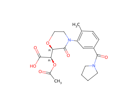 CC(=O)O[C@@H](C(=O)O)[C@H]1OCCN(c2cc(C(=O)N3CCCC3)ccc2C)C1=O